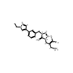 CCn1cc(-c2cccc(Cn3nnn(CC(CN)=C(F)F)c3=O)c2)cn1